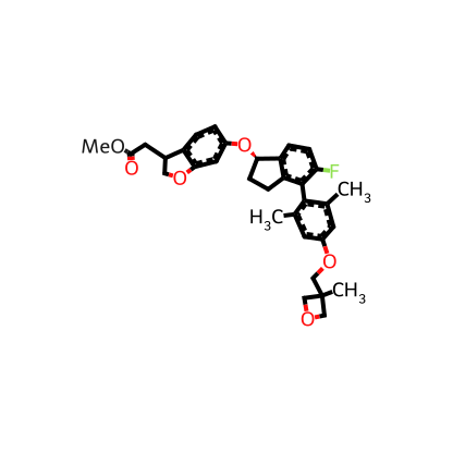 COC(=O)CC1COc2cc(O[C@@H]3CCc4c3ccc(F)c4-c3c(C)cc(OCC4(C)COC4)cc3C)ccc21